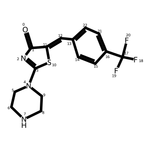 O=C1N=C(N2CCNCC2)S/C1=C\c1ccc(C(F)(F)F)cc1